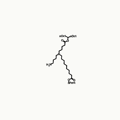 CCCCCCCCC(CCCCCCCC)OC(=O)CCCCN(CCCCN)CCCCCCCCCC(=O)OCCCCC